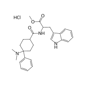 COC(=O)C(Cc1c[nH]c2ccccc12)NC(=O)C1CCC(c2ccccc2)(N(C)C)CC1.Cl